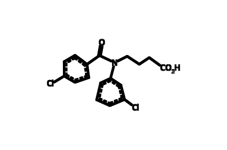 O=C(O)CCCN(C(=O)c1ccc(Cl)cc1)c1cccc(Cl)c1